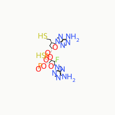 Nc1ncnc2c1ncn2[C@@H]1O[C@H](CO[P@@](=O)(S)O[C@H]2[C@@H](F)[C@H](n3cnc4c(N)ncnc43)O[C@@H]2COP=O)C[C@H]1CCS